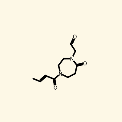 C/C=C/C(=O)N1CCC(=O)N(CC=O)CC1